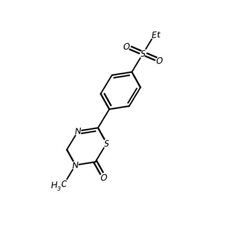 CCS(=O)(=O)c1ccc(C2=NCN(C)C(=O)S2)cc1